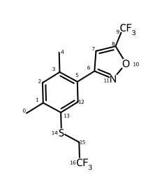 Cc1cc(C)c(-c2cc(C(F)(F)F)on2)cc1SCC(F)(F)F